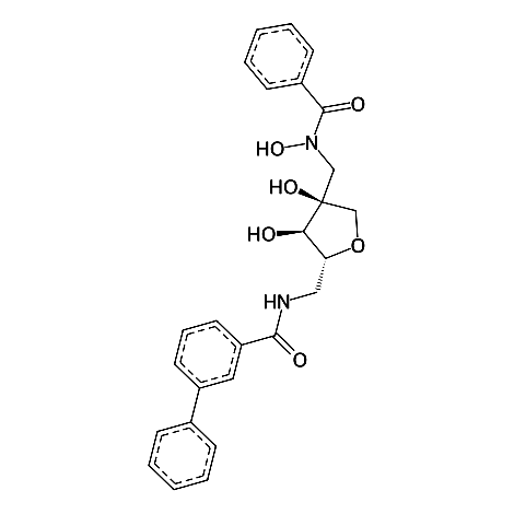 O=C(NC[C@H]1OC[C@@](O)(CN(O)C(=O)c2ccccc2)[C@@H]1O)c1cccc(-c2ccccc2)c1